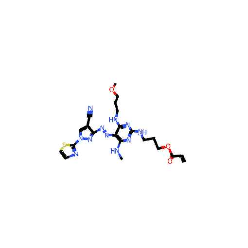 C=CC(=O)OCCCNc1nc(NC)c(N=Nc2nn(-c3nccs3)cc2C#N)c(NCCCOC)n1